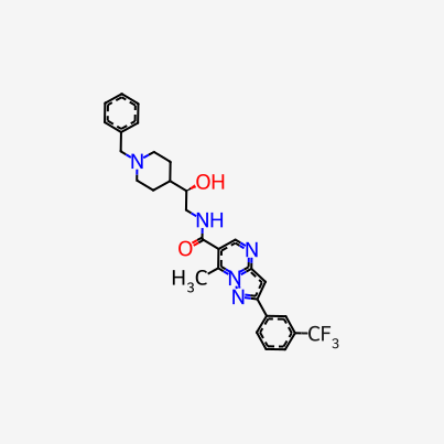 Cc1c(C(=O)NC[C@H](O)C2CCN(Cc3ccccc3)CC2)cnc2cc(-c3cccc(C(F)(F)F)c3)nn12